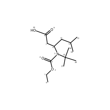 CCOC(=O)N(C(CC(=O)O)CC(C)C)C(C)(C)C